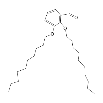 CCCCCCCCCCOc1cccc(C=O)c1OCCCCCCCCCC